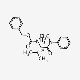 CC(C)[C@@H](C(=O)N(C)c1ccccc1)N(C)C(=O)OCc1ccccc1